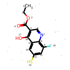 CCOC(=O)c1cnc2c(F)cc(S)cc2c1O